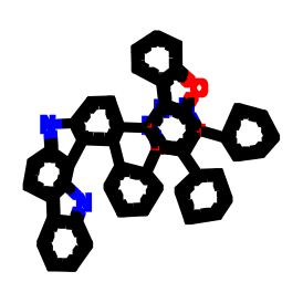 c1ccc(-c2nnnc(-c3ccccc3-c3c(-c4cccc5oc6ccccc6c45)ccc4c3-c3c5c(ccc3=N4)=c3ccccc3=N5)c2-c2ccccc2)cc1